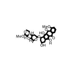 COc1cccc2c1C(=O)c1c(O)c3c(c(O)c1C2=O)C[C@H](O)C[C@@H]3O[C@H]1C[C@H]2[C@H](O[C@@H]3[C@@H](OC)OCCN32)[C@H](C)O1